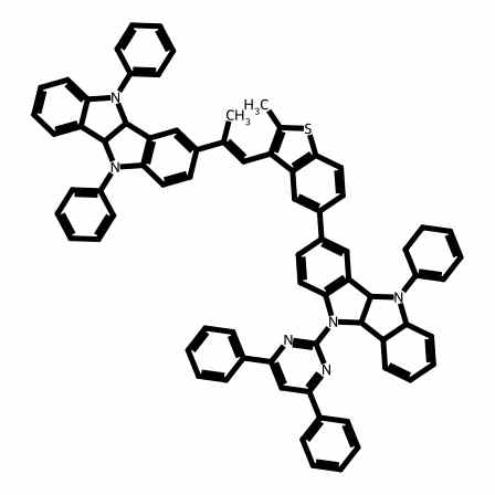 C/C(=C\c1c(C)sc2ccc(-c3ccc4c(c3)C3C(C5C=CC=CC5N3C3=CC=CCC3)N4c3nc(-c4ccccc4)cc(-c4ccccc4)n3)cc12)c1ccc2c(c1)C1C(c3ccccc3N1c1ccccc1)N2c1ccccc1